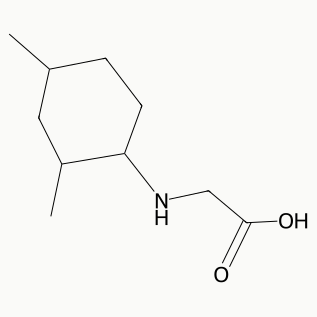 CC1CCC(NCC(=O)O)C(C)C1